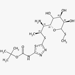 CSC1O[C@H]([C@H](N)[C@H](C)Sc2nnc(NC(=O)OC(C)(C)C)s2)C(O)[C@@H](O)[C@H]1O